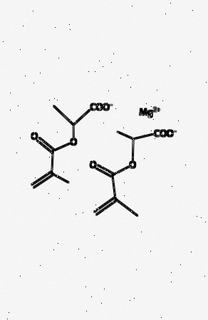 C=C(C)C(=O)OC(C)C(=O)[O-].C=C(C)C(=O)OC(C)C(=O)[O-].[Mg+2]